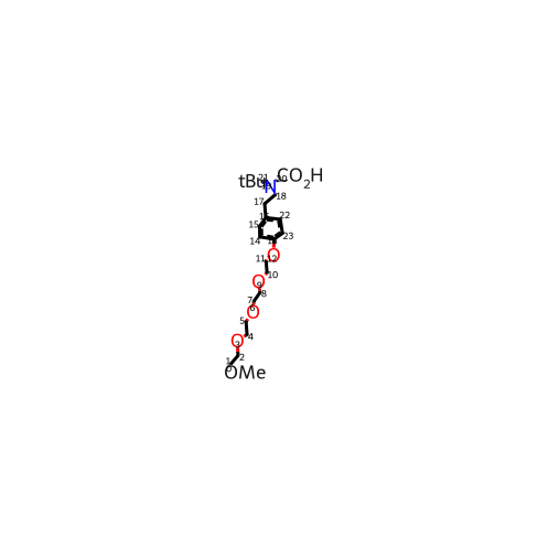 COCCOCCOCCOCCOc1ccc(CCN(C(=O)O)C(C)(C)C)cc1